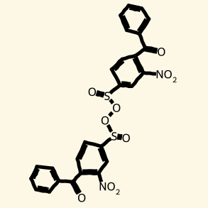 O=C(c1ccccc1)c1ccc(S(=O)OOS(=O)c2ccc(C(=O)c3ccccc3)c([N+](=O)[O-])c2)cc1[N+](=O)[O-]